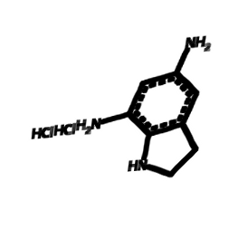 Cl.Cl.Nc1cc(N)c2c(c1)CCN2